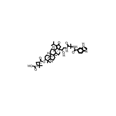 CC(C)C1=C2[C@H]3CC[C@@H]4[C@@]5(C)CC[C@H](OC(=O)[C@H]6C[C@@H](C(=O)O)C6(C)C)C(C)(C)[C@@H]5CC[C@@]4(C)[C@]3(C)CC[C@@]2([C@@H](O)CNC(=O)C(C)(C)NC(=O)c2ccc3nc[nH]c3c2)CC1=O